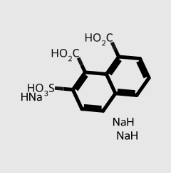 O=C(O)c1cccc2ccc(S(=O)(=O)O)c(C(=O)O)c12.[NaH].[NaH].[NaH]